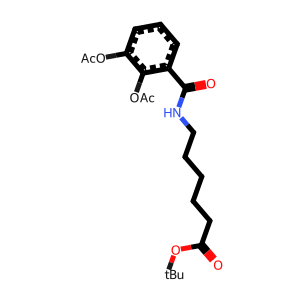 CC(=O)Oc1cccc(C(=O)NCCCCCC(=O)OC(C)(C)C)c1OC(C)=O